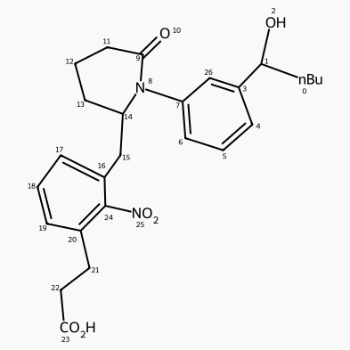 CCCCC(O)c1cccc(N2C(=O)CCCC2Cc2cccc(CCC(=O)O)c2[N+](=O)[O-])c1